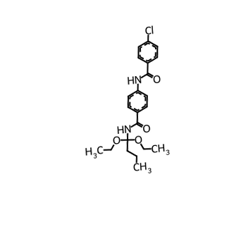 CCCC(NC(=O)c1ccc(NC(=O)c2ccc(Cl)cc2)cc1)(OCC)OCC